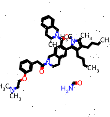 CCCCc1c(CCCC)c(-c2cc3c(cc2C(=O)N2Cc4ccccc4C[C@H]2C)CN(C(=O)Cc2cccc(OCCN(C)C)c2)CC3)n(C)c1C.NC=O